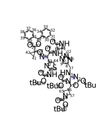 CC(C)(C)OC(=O)/N=C(/NCc1cnn(C[C@H]2NC(=O)[C@H]2NC(=O)/C(=N\OC2(C(=O)OC(c3ccccc3)c3ccccc3)CC2)c2csc(NC(=O)OC(C)(C)C)n2)n1)N(CC1CN(C(=O)OC(C)(C)C)C1)C(=O)OC(C)(C)C